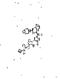 O=C(NC12CC(C1)C2)O[C@@H]1CO[C@H](c2cc(Nc3nc(N4CCOCC4)cc4nccn34)n[nH]2)[C@H]1F